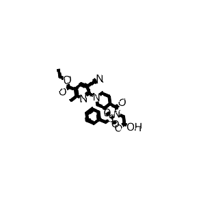 CCOC(=O)c1cc(C#N)c(N2CCC(C(=O)N(CC(=O)O)S(=O)(=O)Cc3ccccc3)CC2)nc1C